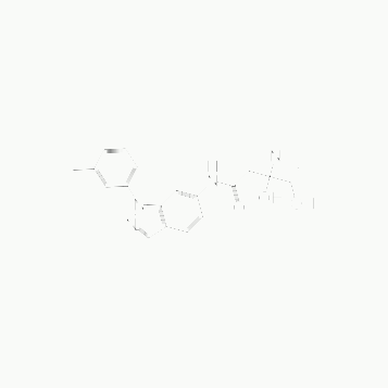 Cc1cccc(-n2ncc3ccc(NC(=O)CC(N)(O)CO)cc32)c1